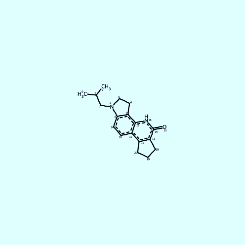 CC(C)CN1CCc2c1ccc1c3c(c(=O)[nH]c21)CCC3